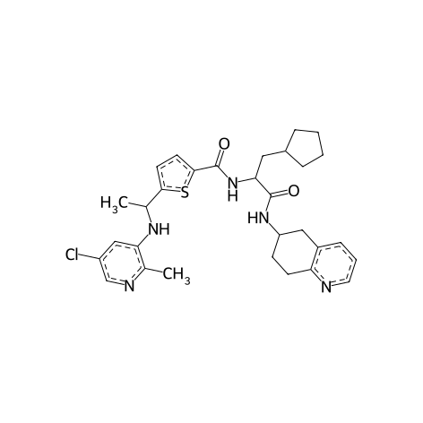 Cc1ncc(Cl)cc1NC(C)c1ccc(C(=O)NC(CC2CCCC2)C(=O)NC2CCc3ncccc3C2)s1